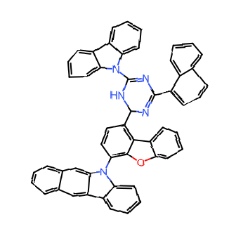 c1ccc2cc3c(cc2c1)c1ccccc1n3-c1ccc(C2N=C(c3cccc4ccccc34)N=C(n3c4ccccc4c4ccccc43)N2)c2c1oc1ccccc12